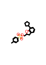 Cc1ccc(S(=O)(=O)OCC2Cc3cccc(C4CCCC4)c3O2)cc1